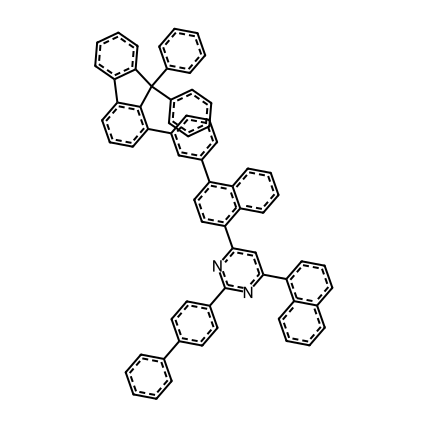 c1ccc(-c2ccc(-c3nc(-c4cccc5ccccc45)cc(-c4ccc(-c5cccc(-c6cccc7c6C(c6ccccc6)(c6ccccc6)c6ccccc6-7)c5)c5ccccc45)n3)cc2)cc1